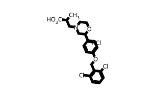 CC(CN1CCOC(c2ccc(OCc3c(Cl)cccc3Cl)cc2)C1)C(=O)O.Cl